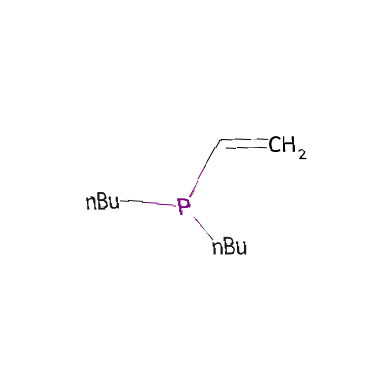 C=CP(CCCC)CCCC